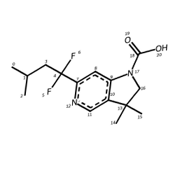 CC(C)CC(F)(F)c1cc2c(cn1)C(C)(C)CN2C(=O)O